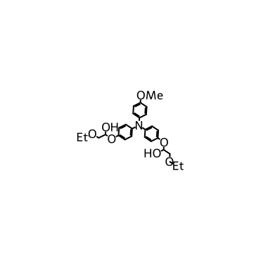 CCOCC(O)Oc1ccc(N(c2ccc(OC)cc2)c2ccc(OC(O)COCC)cc2)cc1